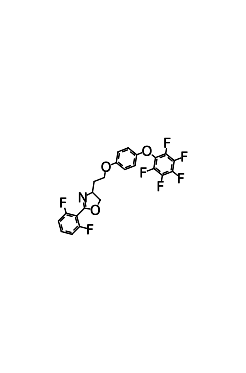 Fc1cccc(F)c1C1=NC(CCOc2ccc(Oc3c(F)c(F)c(F)c(F)c3F)cc2)CO1